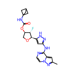 Cc1cc2c(Nc3cc([C@H]4OC[C@@H](OC(=O)NC56CC(C5)C6)[C@@H]4F)[nH]n3)nccn2n1